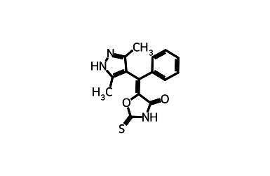 Cc1n[nH]c(C)c1C(=C1OC(=S)NC1=O)c1ccccc1